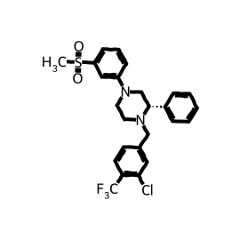 CS(=O)(=O)c1cccc(N2CCN(Cc3ccc(C(F)(F)F)c(Cl)c3)[C@@H](c3ccccc3)C2)c1